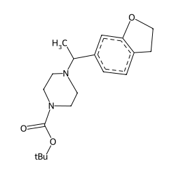 CC(c1ccc2c(c1)OCC2)N1CCN(C(=O)OC(C)(C)C)CC1